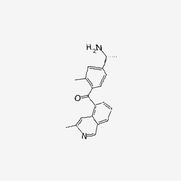 Cc1cc2c(C(=O)c3ccc([C@@H](C)N)cc3C)cccc2cn1